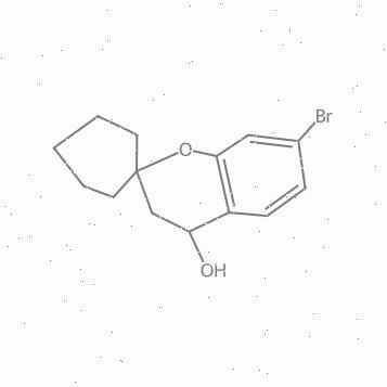 OC1CC2(CCCCC2)Oc2cc(Br)ccc21